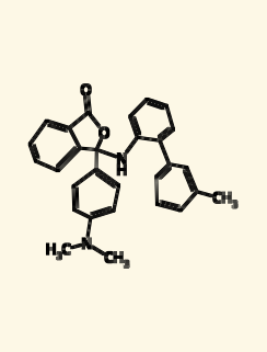 Cc1cccc(-c2ccccc2NC2(c3ccc(N(C)C)cc3)OC(=O)c3ccccc32)c1